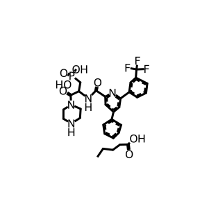 CCCCC(=O)O.O=C(NC(CP(=O)(O)O)C(=O)N1CCNCC1)c1cc(-c2ccccc2)cc(-c2cccc(C(F)(F)F)c2)n1